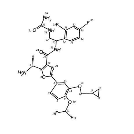 C[C@H](N)c1oc(-c2ccc(OC(F)F)c(OCC3CC3)c2)nc1C(=O)NC(CNC(N)=O)c1ccc(F)cc1F